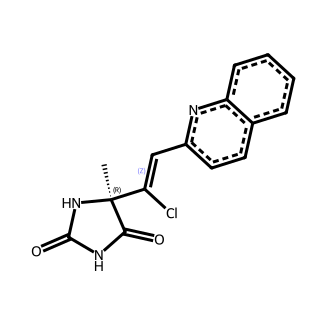 C[C@@]1(/C(Cl)=C/c2ccc3ccccc3n2)NC(=O)NC1=O